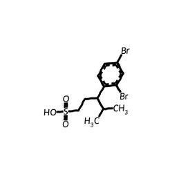 CC(C)C(CCS(=O)(=O)O)c1ccc(Br)cc1Br